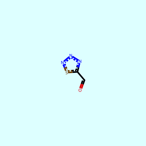 O=Cc1nnns1